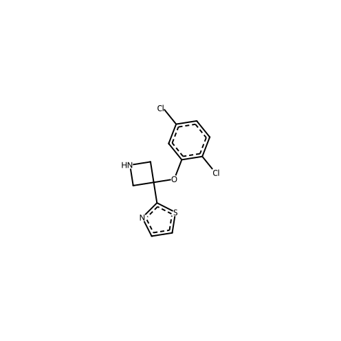 Clc1ccc(Cl)c(OC2(c3nccs3)CNC2)c1